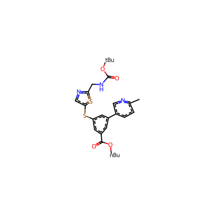 CCCCOC(=O)c1cc(Sc2cnc(CNC(=O)OC(C)(C)C)s2)cc(-c2ccc(C)nc2)c1